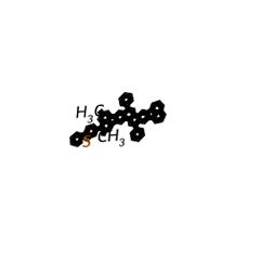 Cc1cc2c3c(cc(C)c(-c4ccc5c(c4)sc4ccccc45)c3c1)-c1cc3c(cc1-2)c(-c1ccccc1)cc1c2cc4c(cc2c(-c2ccccc2)cc31)-c1cccc2cccc-4c12